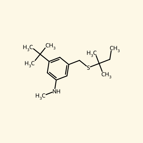 CCC(C)(C)SCc1cc(NC)cc(C(C)(C)C)c1